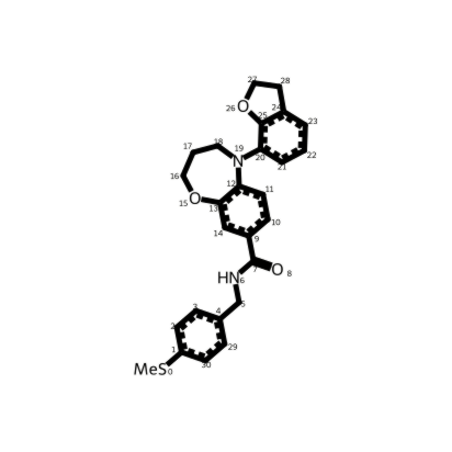 CSc1ccc(CNC(=O)c2ccc3c(c2)OCCCN3c2cccc3c2OCC3)cc1